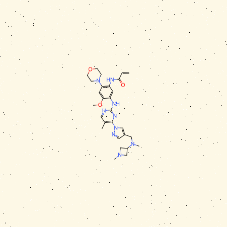 C=CC(=O)Nc1cc(Nc2ncc(C)c(-n3cc(CN(C)C4CN(C)C4)cn3)n2)c(OC)cc1N1CCOCC1